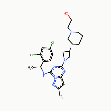 C[C@@H](Nc1nc(N2CC([C@H]3CCCN(CCO)C3)C2)nc2cc(C(F)(F)F)nn12)c1ccc(Cl)cc1Cl